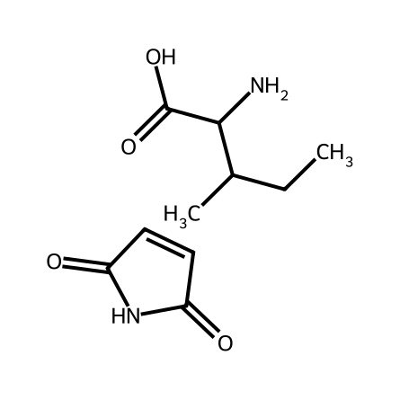 CCC(C)C(N)C(=O)O.O=C1C=CC(=O)N1